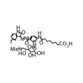 CNC[C@H](O)[C@@H](O)[C@H](O)[C@H](O)CO.O=C(O)CCCCCCC(=O)Nc1ccc(C(=O)NN=C2C(=O)Nc3ccc(I)cc32)cc1